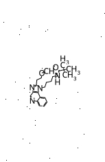 COCCc1nc2cnc3ccccc3c2n1CCCCNC(=O)C(C)(C)C